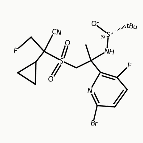 CC(CS(=O)(=O)C(C#N)(CF)C1CC1)(N[S@+]([O-])C(C)(C)C)c1nc(Br)ccc1F